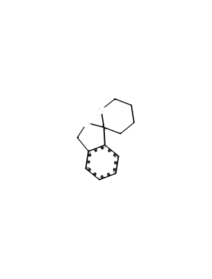 c1ccc2c(c1)COC21CCCCN1